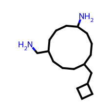 NCC1CCCC(N)CCCC(CC2CCC2)CCC1